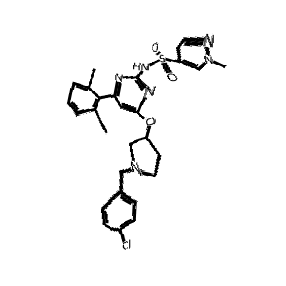 Cc1cccc(C)c1-c1cc(OC2CCN(Cc3ccc(Cl)cc3)C2)nc(NS(=O)(=O)c2cnn(C)c2)n1